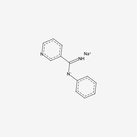 N=C([N-]c1ccccc1)c1cccnc1.[Na+]